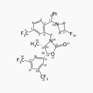 CC(C)C(c1ccc(C(F)(F)F)cc1CN1C(=O)O[C@H](c2cc(C(F)(F)F)cc(C(F)(F)F)c2)[C@@H]1C)N1CC(F)C1